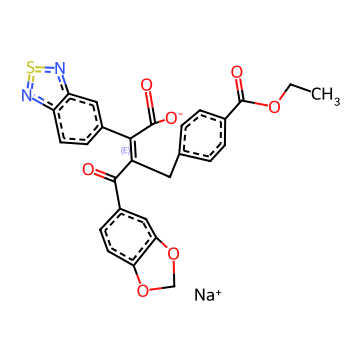 CCOC(=O)c1ccc(C/C(C(=O)c2ccc3c(c2)OCO3)=C(\C(=O)[O-])c2ccc3nsnc3c2)cc1.[Na+]